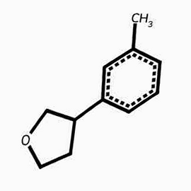 Cc1cccc(C2CCOC2)c1